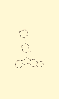 c1ccc(-c2ccc(-n3c4ccccc4c4cc5occc5cc43)nc2)cc1